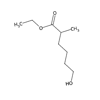 CCOC(=O)C(C)CCCCO